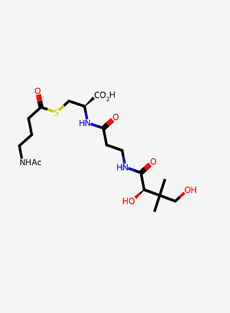 CC(=O)NCCCC(=O)SC[C@H](NC(=O)CCNC(=O)[C@H](O)C(C)(C)CO)C(=O)O